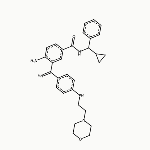 N=C(c1ccc(PCCN2CCOCC2)cc1)c1cc(C(=O)NC(c2ccccc2)C2CC2)ccc1N